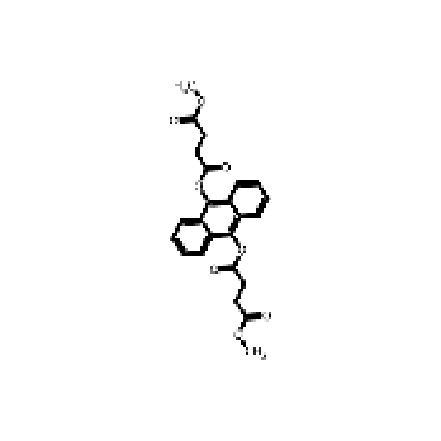 COC(=O)CCC(=O)Oc1c2ccccc2c(OC(=O)CCC(=O)OC)c2ccccc12